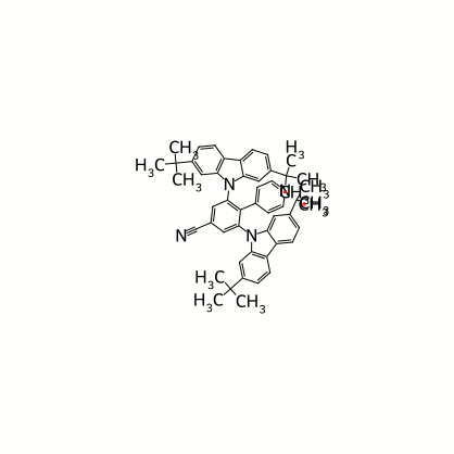 CC(C)(C)c1ccc2c3ccc(C(C)(C)C)cc3n(-c3cc(C#N)cc(-n4c5cc(C(C)(C)C)ccc5c5ccc(C(C)(C)C)cc54)c3-c3ccncc3)c2c1